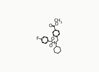 COC(=O)c1ccc(CN(C2CCCCC2)S(=O)(=O)c2ccc(F)cc2)cc1